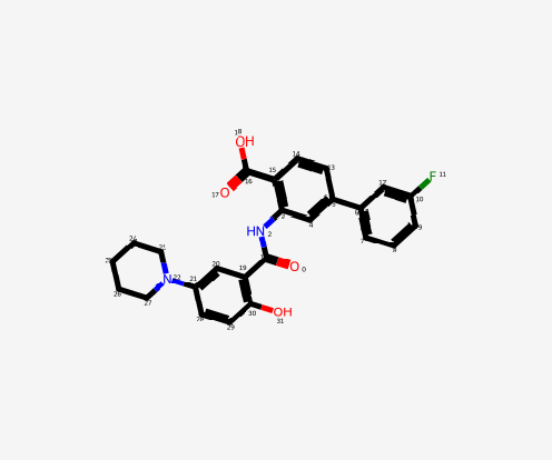 O=C(Nc1cc(-c2cccc(F)c2)ccc1C(=O)O)c1cc(N2CCCCC2)ccc1O